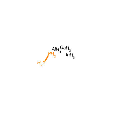 PP.[AlH3].[GaH3].[InH3]